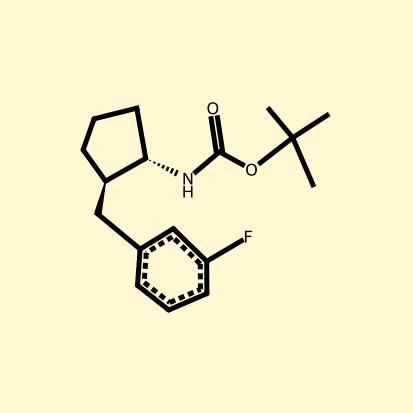 CC(C)(C)OC(=O)N[C@H]1CCC[C@@H]1Cc1cccc(F)c1